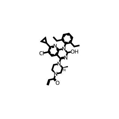 C=CC(=O)N1CCN(C2=NC(O)N(c3c(CC)cccc3CC)c3nc(C4CC4)c(Cl)cc32)[C@@H](C)C1